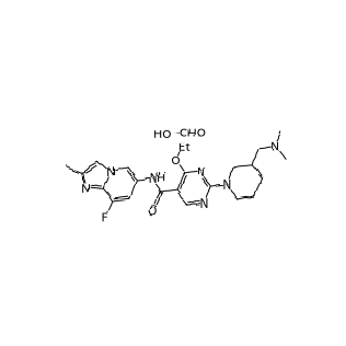 CCOc1nc(N2CCCC(CN(C)C)C2)ncc1C(=O)Nc1cc(F)c2nc(C)cn2c1.O=CO